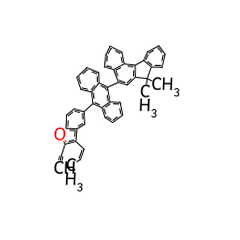 C#Cc1oc2ccc(-c3c4ccccc4c(-c4cc5c(c6ccccc46)-c4ccccc4C5(C)C)c4ccccc34)cc2c1/C=C\C